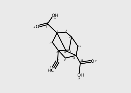 C#CC12CC3CC(C(=O)O)(C1)CC(C(=O)O)(C3)C2